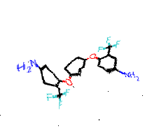 NC1CCC(OC2CCC(OC3CCC(N)CC3C(F)(F)F)CC2)C(C(F)(F)F)C1